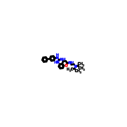 CC(C)N(CCNC(=O)CC(NC(=N)Nc1ccc(-c2ccccc2)cc1)c1ccccc1)C(C)C